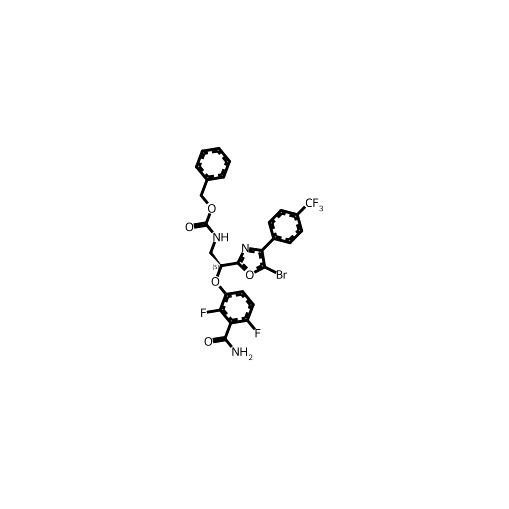 NC(=O)c1c(F)ccc(O[C@@H](CNC(=O)OCc2ccccc2)c2nc(-c3ccc(C(F)(F)F)cc3)c(Br)o2)c1F